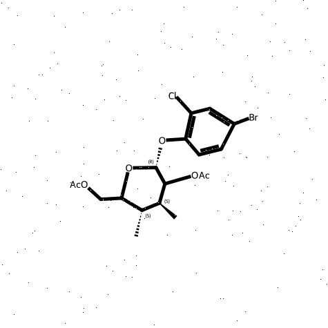 CC(=O)OCC1O[C@H](Oc2ccc(Br)cc2Cl)C(OC(C)=O)[C@@H](C)[C@@H]1C